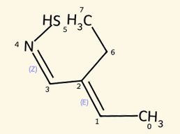 C/C=C(/C=N\S)CC